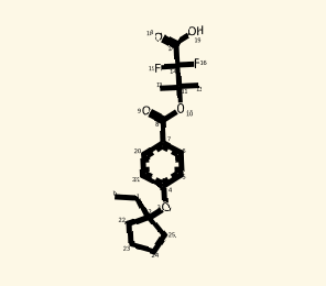 CCC1(Oc2ccc(C(=O)OC(C)(C)C(F)(F)C(=O)O)cc2)CCCC1